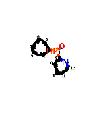 O=[PH](c1ccccc1)c1ccccn1